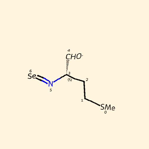 CSCC[C@@H]([C]=O)N=[Se]